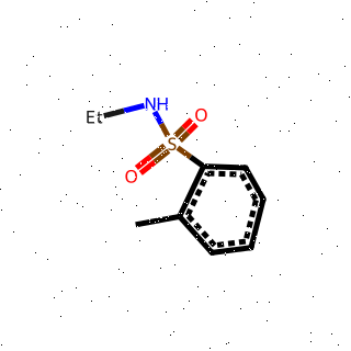 [CH2]CNS(=O)(=O)c1ccccc1C